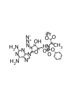 CC(C)OC(=O)[C@@H](C)N[P@@](=O)(OC[C@H]1O[C@@H](n2cnc3c(N)nc(N)nc32)[C@H](N=[N+]=[N-])[C@@H]1O)Oc1ccccc1